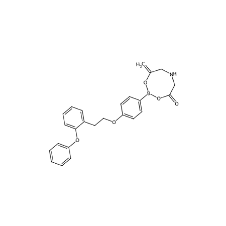 C=C1CNCC(=O)OB(c2ccc(OCCc3ccccc3Oc3ccccc3)cc2)O1